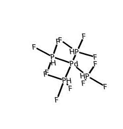 F[PH](F)(F)[Pd]([PH](F)(F)F)([PH](F)(F)F)[PH](F)(F)F